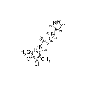 Cc1c2c(n(C)c(=O)c1Cl)CN(C(=O)CC1CN(c3ccnnc3)C1)C2